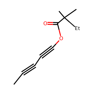 CC#CC#COC(=O)C(C)(C)CC